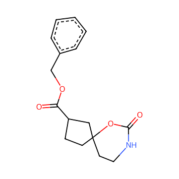 O=C1NCCC2(CCC(C(=O)OCc3ccccc3)C2)O1